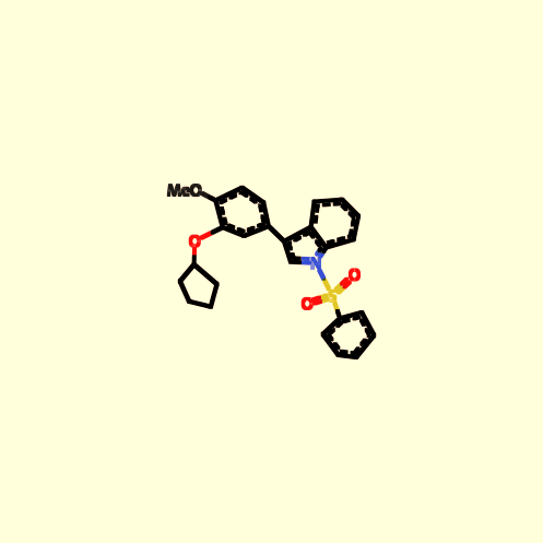 COc1ccc(-c2cn(S(=O)(=O)c3ccccc3)c3ccccc23)cc1OC1CCCC1